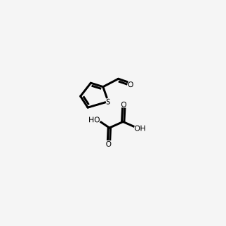 O=C(O)C(=O)O.O=Cc1cccs1